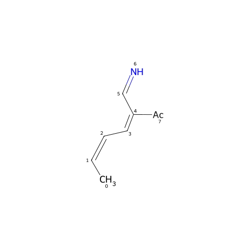 C/C=C\C=C(/C=N)C(C)=O